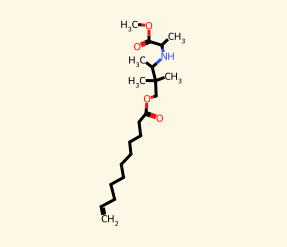 C=CCCCCCCCCC(=O)OCC(C)(C)C(C)NC(C)C(=O)OC